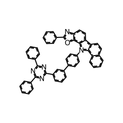 c1ccc(-c2nc(-c3ccccc3)nc(-c3cccc(-c4ccc(-n5c6c7ccccc7ccc6c6ccc7nc(-c8ccccc8)oc7c65)cc4)c3)n2)cc1